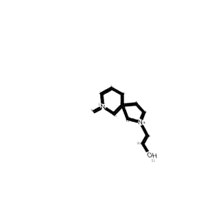 CN1CCCC2(CCN(CCO)C2)C1